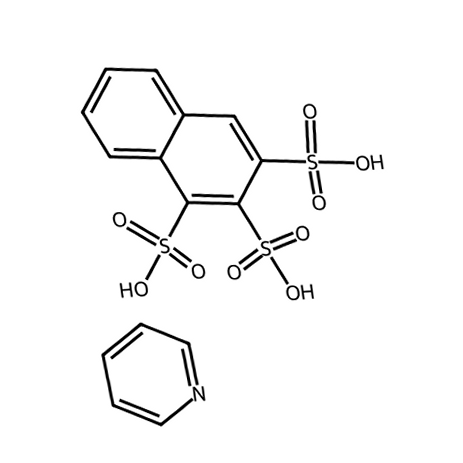 O=S(=O)(O)c1cc2ccccc2c(S(=O)(=O)O)c1S(=O)(=O)O.c1ccncc1